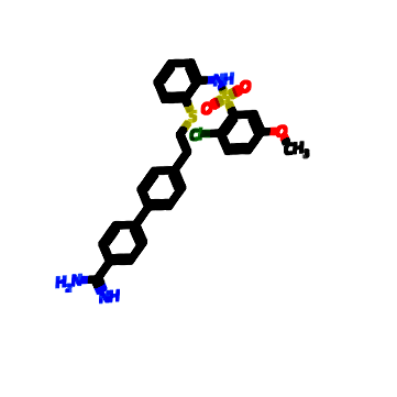 COc1ccc(Cl)c(S(=O)(=O)Nc2ccccc2SCCc2ccc(-c3ccc(C(=N)N)cc3)cc2)c1